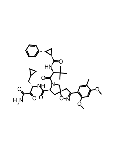 COc1cc(OC)c(C2=NO[C@]3(C2)C[C@@H](C(=O)N[C@@H](CC2CC2)C(=O)C(N)=O)N(C(=O)[C@@H](NC(=O)[C@@H]2C[C@H]2c2ccccc2)C(C)(C)C)C3)cc1C